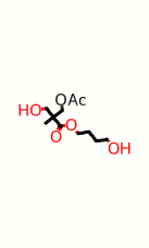 CC(=O)OCC(C)(CO)C(=O)OCCCCO